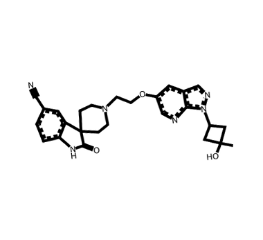 CC1(O)CC(n2ncc3cc(OCCN4CCC5(CC4)C(=O)Nc4ccc(C#N)cc45)cnc32)C1